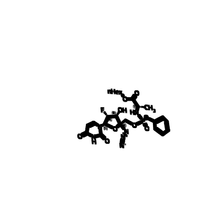 CCCCCCOC(=O)[C@H](C)NP(=O)(OC[C@@]1(N=[N+]=[N-])O[C@@H](n2ccc(=O)[nH]c2=O)[C@H](F)[C@@H]1O)Oc1ccccc1